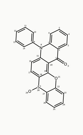 O=c1c2ccccc2n(-c2ccccc2)c2ccc3c(c12)Oc1ccccc1[S+]3[O-]